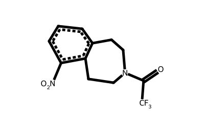 O=C(N1CCc2cccc([N+](=O)[O-])c2CC1)C(F)(F)F